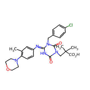 Cc1cc(/N=c2\[nH]c(=O)n(CC(C)(C)C(=O)O)c(=O)n2Cc2ccc(Cl)cc2)ccc1N1CCOCC1